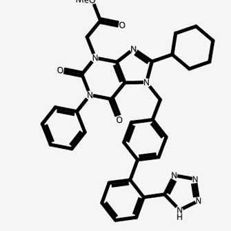 COC(=O)Cn1c(=O)n(-c2ccccc2)c(=O)c2c1nc(C1CCCCC1)n2Cc1ccc(-c2ccccc2-c2nnn[nH]2)cc1